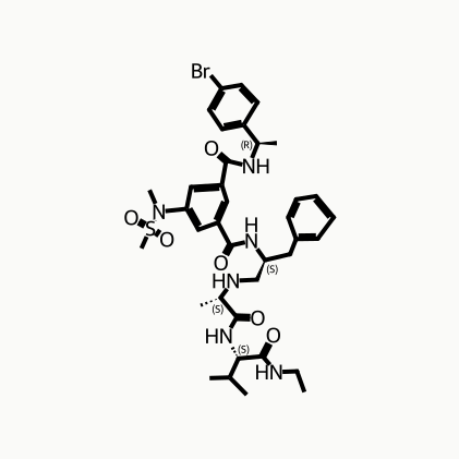 CCNC(=O)[C@@H](NC(=O)[C@H](C)NC[C@H](Cc1ccccc1)NC(=O)c1cc(C(=O)N[C@H](C)c2ccc(Br)cc2)cc(N(C)S(C)(=O)=O)c1)C(C)C